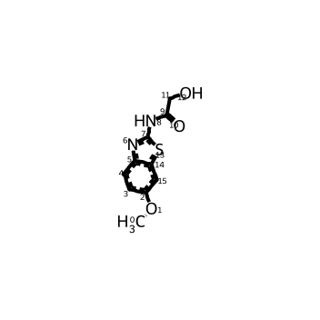 COc1ccc2nc(NC(=O)CO)sc2c1